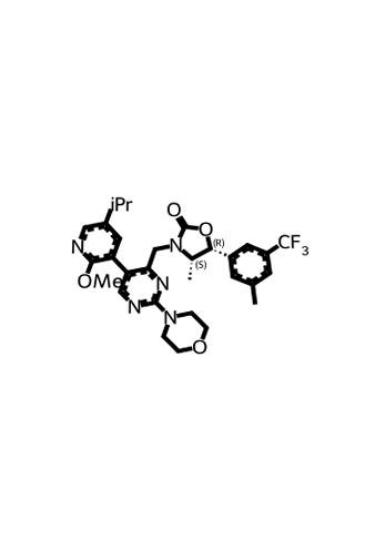 COc1ncc(C(C)C)cc1-c1cnc(N2CCOCC2)nc1CN1C(=O)O[C@H](c2cc(C)cc(C(F)(F)F)c2)[C@@H]1C